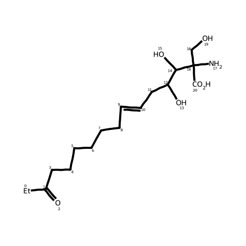 CCC(=O)CCCCCC/C=C/CC(O)C(O)C(N)(CO)C(=O)O